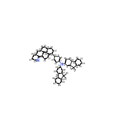 CC1(C)C2=CC(N(C3=CCC(c4ccc5ccc6cc7cccnc7c7ccc4c5c67)C=C3)c3ccc4c(c3)C(C)(C)c3ccccc3-4)=CCC2c2ccccc21